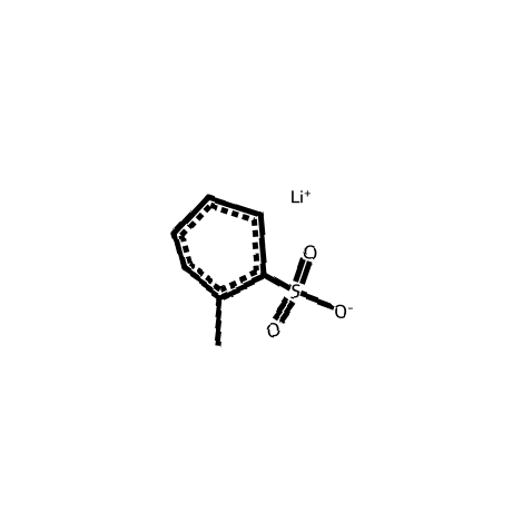 Cc1ccccc1S(=O)(=O)[O-].[Li+]